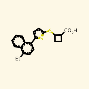 CCc1ccc(-c2ccc(SC3CCC3C(=O)O)s2)c2ccccc12